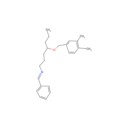 CCCC(CCCN=Cc1ccccc1)OCc1ccc(C)c(C)c1